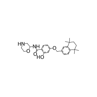 CC1(C)CCC(C)(C)c2cc(COc3ccc(C(=O)NC4CNCCO4)c(O)c3)ccc21